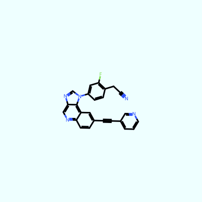 N#CCc1ccc(-n2cnc3cnc4ccc(C#Cc5cccnc5)cc4c32)cc1F